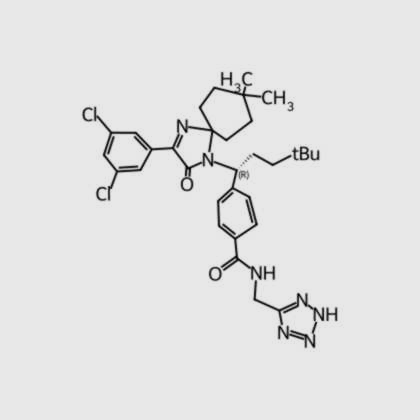 CC(C)(C)CC[C@H](c1ccc(C(=O)NCc2nn[nH]n2)cc1)N1C(=O)C(c2cc(Cl)cc(Cl)c2)=NC12CCC(C)(C)CC2